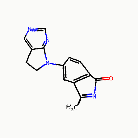 CC1=NC(=O)c2ccc(N3CCc4cncnc43)cc21